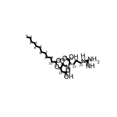 CCCCCCCCCCCC(=O)OC(CC(=O)O)C(=O)N[C@@H](CCCNC(=N)N)C(=O)O